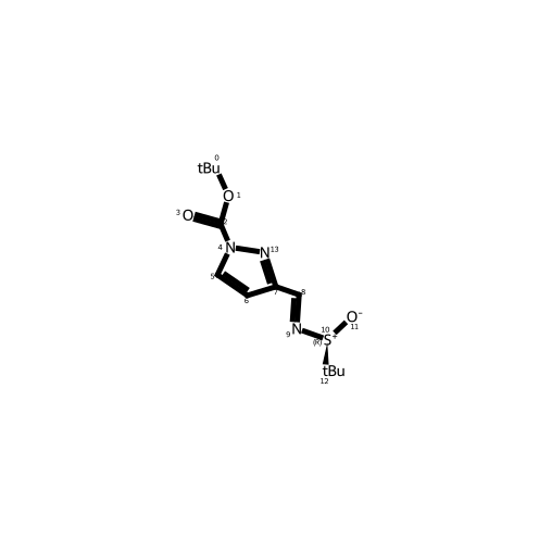 CC(C)(C)OC(=O)n1ccc(C=N[S@@+]([O-])C(C)(C)C)n1